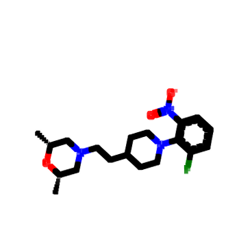 C[C@@H]1CN(CCC2CCN(c3c(F)cccc3[N+](=O)[O-])CC2)C[C@H](C)O1